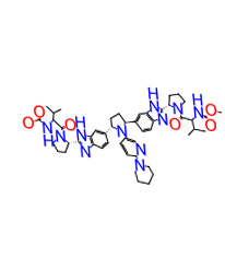 COC(=O)N[C@H](C(=O)N1CCC[C@H]1c1nc2ccc([C@@H]3CC[C@@H](c4ccc5nc([C@@H]6CCCN6C(=O)[C@@H](NC(=O)OC)C(C)C)[nH]c5c4)N3c3ccc(N4CCCCC4)nc3)cc2[nH]1)C(C)C